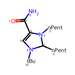 CCCCCC1N(CCCCC)C(C(N)=O)=CN1C(C)(C)C